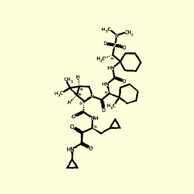 C[C@@H](C1(NC(=O)N[C@H](C(=O)N2C[C@H]3[C@@H]([C@H]2C(=O)N[C@@H](CC2CC2)C(=O)C(=O)NC2CC2)C3(C)C)C2(C)CCCCC2)CCCCC1)S(=O)(=O)N(C)C